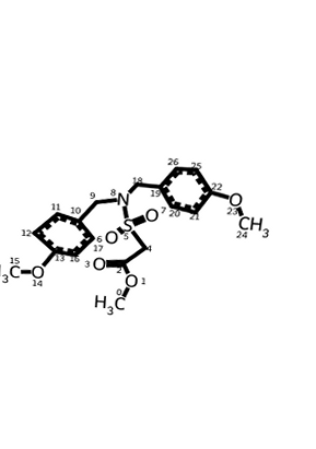 COC(=O)CS(=O)(=O)N(Cc1ccc(OC)cc1)Cc1ccc(OC)cc1